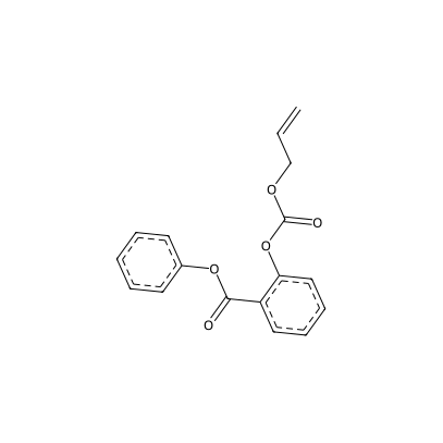 C=CCOC(=O)Oc1ccccc1C(=O)Oc1ccccc1